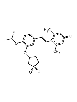 Cc1cc(=O)cc(C)n1C=Cc1ccc(OC(F)F)c(OC2CCS(=O)(=O)C2)c1